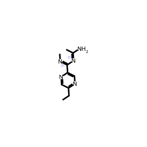 CCc1cnc(C(=N/C)/N=C(\C)N)cn1